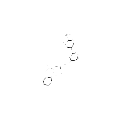 CC(C)N(CC(=O)NCc1ccnc(-c2cnc(C(F)(F)F)nc2)c1)[S+]([O-])c1ccc(F)cc1